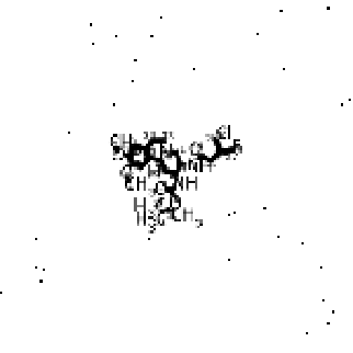 COc1cc2c(cc1OC)[C@@H]1C[C@H](NC(=O)OC(C)(C)C)[C@@H](NC(=O)CC(CF)CCl)CN1CC2